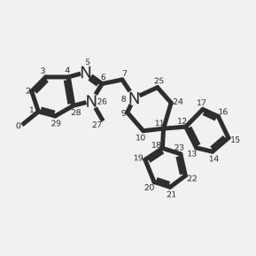 Cc1ccc2nc(CN3CCC(c4ccccc4)(c4ccccc4)CC3)n(C)c2c1